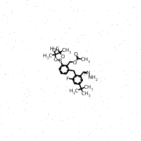 CC(=O)OCc1c(Cc2c(F)cc(C(C)(C)C)cc2/C=N\N)cccc1B1OC(C)(C)C(C)(C)O1